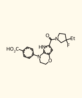 CCC1(F)CCN(C(=O)c2cc3c([nH]2)N(c2ccc(C(=O)O)cc2)CCO3)C1